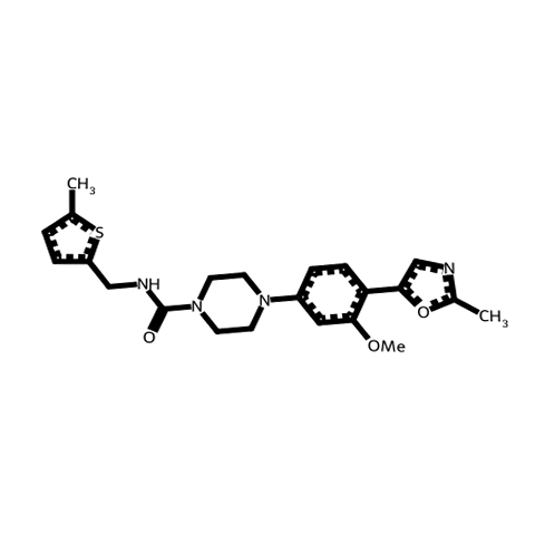 COc1cc(N2CCN(C(=O)NCc3ccc(C)s3)CC2)ccc1-c1cnc(C)o1